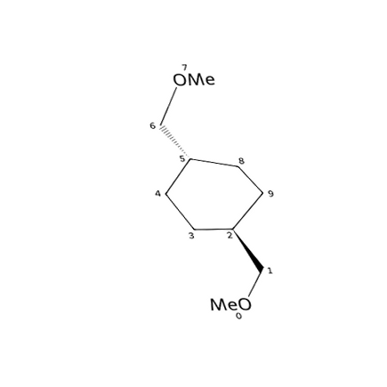 COC[C@H]1CC[C@H](COC)CC1